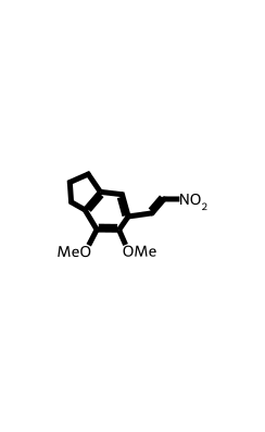 COc1c(C=C[N+](=O)[O-])cc2c(c1OC)CCC2